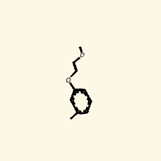 COCCOc1cc[c]c(C)c1